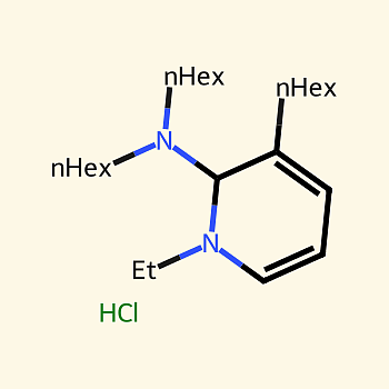 CCCCCCC1=CC=CN(CC)C1N(CCCCCC)CCCCCC.Cl